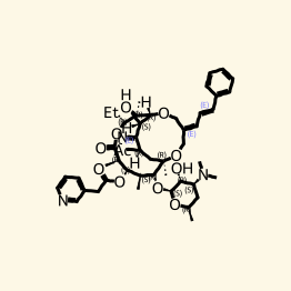 CC[C@H]1OC(=O)[C@H](C)[C@@H](OC(=O)Cc2cccnc2)[C@H](C)[C@@H](O[C@@H]2O[C@H](C)C[C@H](N(C)C)[C@H]2O)[C@@]2(C)C[C@@H](C)/C(=N\C(C)=O)[C@H](C)[C@@H](OC/C(=C\C=C\c3ccccc3)CO2)[C@]1(C)O